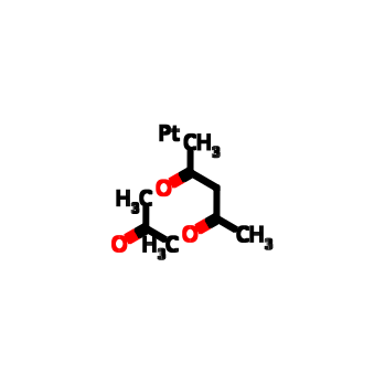 CC(=O)CC(C)=O.CC(C)=O.[Pt]